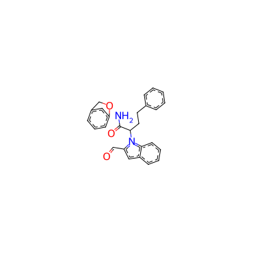 NC(=O)C(CCc1ccccc1)n1c(C=O)cc2ccccc21.c1cc2cc(c1)OC2